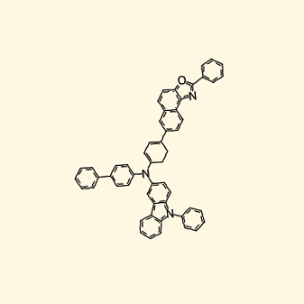 C1=C(c2ccc3c(ccc4oc(-c5ccccc5)nc43)c2)CCC(N(c2ccc(-c3ccccc3)cc2)c2ccc3c(c2)c2ccccc2n3-c2ccccc2)=C1